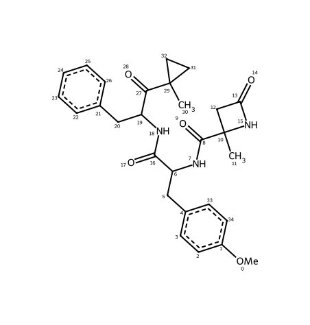 COc1ccc(CC(NC(=O)C2(C)CC(=O)N2)C(=O)NC(Cc2ccccc2)C(=O)C2(C)CC2)cc1